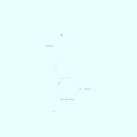 CC(C)(C)[S+]([O-])/N=C/c1cc(Br)cc(Br)c1